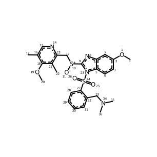 COc1ccc2c(c1)nc([S+]([O-])Cc1ncc(C)c(OC)c1C)n2S(=O)(=O)c1ccccc1CN(C)C